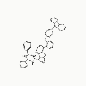 C1=CC2c3ccccc3N(c3ccc4sc5c(-c6cccc7c6sc6cccc(C8NC(c9ccccc9)NC(c9ccccc9)N8)c67)cccc5c4c3)C2C=C1